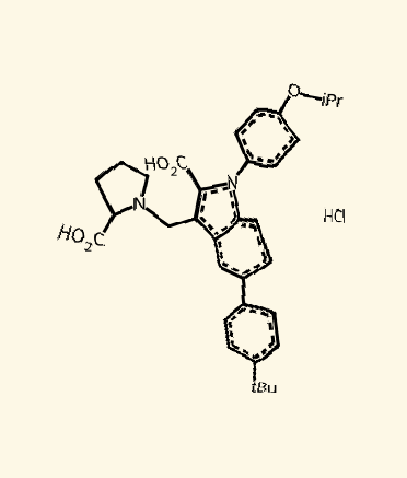 CC(C)Oc1ccc(-n2c(C(=O)O)c(CN3CCCC3C(=O)O)c3cc(-c4ccc(C(C)(C)C)cc4)ccc32)cc1.Cl